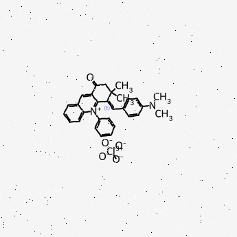 CN(C)c1ccc(/C=C2/c3c(cc4ccccc4[n+]3-c3ccccc3)C(=O)CC2(C)C)cc1.[O-][Cl+3]([O-])([O-])[O-]